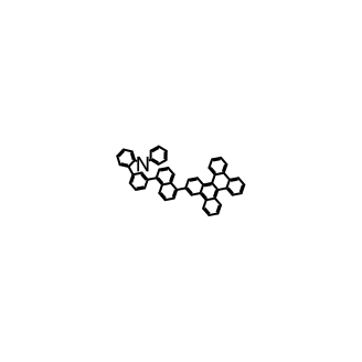 c1ccc(-n2c3ccccc3c3cccc(-c4cccc5c(-c6ccc7c(c6)c6ccccc6c6c8ccccc8c8ccccc8c76)cccc45)c32)cc1